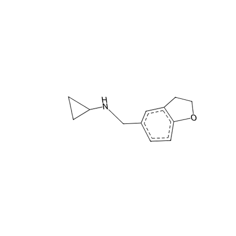 c1cc2c(cc1CNC1CC1)CCO2